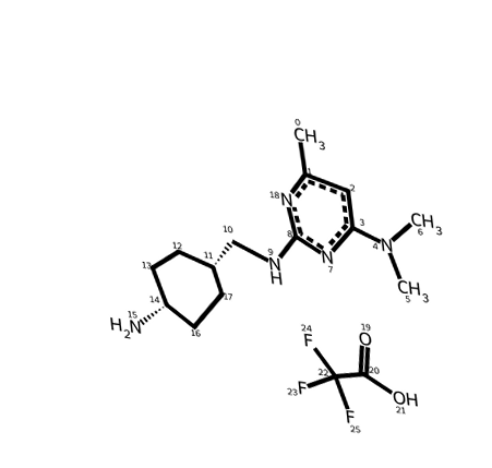 Cc1cc(N(C)C)nc(NC[C@H]2CC[C@@H](N)CC2)n1.O=C(O)C(F)(F)F